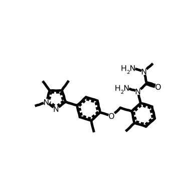 Cc1cc(-c2nn(C)c(C)c2C)ccc1OCc1c(C)cccc1N(N)C(=O)N(C)N